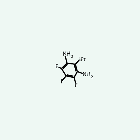 CC(C)c1c(N)c(F)c(I)c(F)c1N